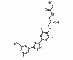 CCCc1cc(-c2nc(-c3cc(C)c(OC[C@H](O)CNC(=O)CO)c(C)c3)no2)cc(C)n1